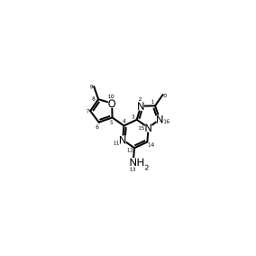 Cc1nc2c(-c3ccc(C)o3)nc(N)cn2n1